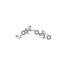 Cc1ccc2nc(NCCc3ccc(/N=C4/N[C@@H](Cc5ccccc5)CS4)cc3)sc2c1